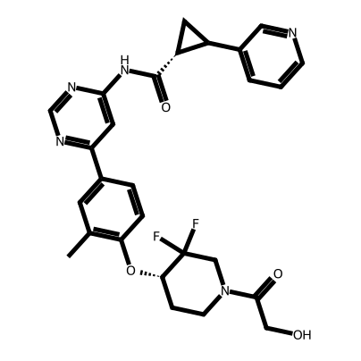 Cc1cc(-c2cc(NC(=O)[C@@H]3CC3c3cccnc3)ncn2)ccc1O[C@H]1CCN(C(=O)CO)CC1(F)F